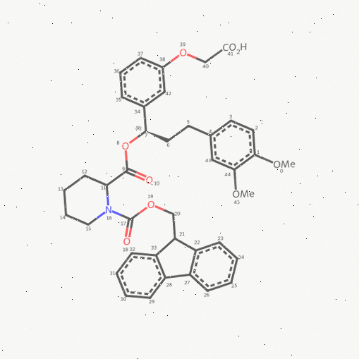 COc1ccc(CC[C@@H](OC(=O)C2CCCCN2C(=O)OCC2c3ccccc3-c3ccccc32)c2cccc(OCC(=O)O)c2)cc1OC